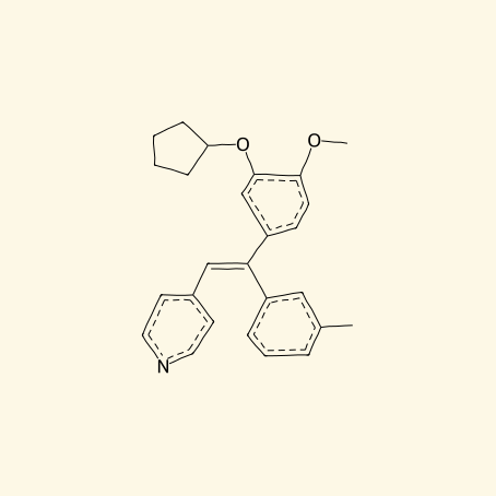 COc1ccc(C(=Cc2ccncc2)c2cccc(C)c2)cc1OC1CCCC1